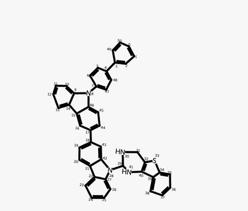 c1ccc(-c2ccc(-n3c4ccccc4c4cc(-c5ccc6c7ccccc7n(C7NCc8sc9ccccc9c8N7)c6c5)ccc43)cc2)cc1